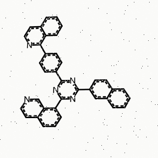 c1ccc2cc(-c3nc(-c4ccc(-c5nccc6ccccc56)cc4)nc(-c4cccc5ccncc45)n3)ccc2c1